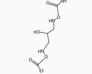 CCCC(=O)ONCC(O)CNOC(=O)CC